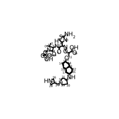 CC1(C)C(NC(=O)/C(=N\OC(COc2ccc3cc(NC4CCN(CC5CNC5)CC4)ccc3c2)C(=O)O)C2CSC(N)=N2)C(=O)N1OS(=O)(=O)O